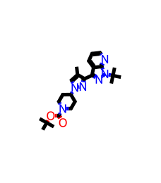 Cc1cn(C2CCN(C(=O)OC(C)(C)C)CC2)nc1-c1nn(C(C)(C)C)c2ncccc12